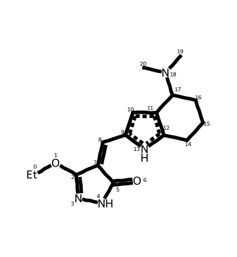 CCOC1=NNC(=O)/C1=C\c1cc2c([nH]1)CCCC2N(C)C